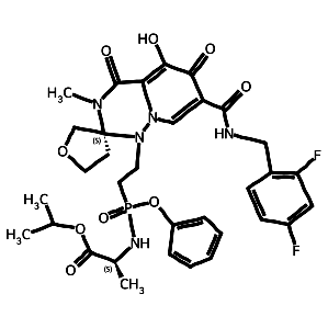 CC(C)OC(=O)[C@H](C)NP(=O)(CCN1n2cc(C(=O)NCc3ccc(F)cc3F)c(=O)c(O)c2C(=O)N(C)[C@@]12CCOC2)Oc1ccccc1